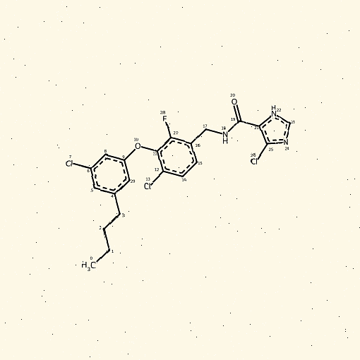 CCCCc1cc(Cl)cc(Oc2c(Cl)ccc(CNC(=O)c3[nH]cnc3Cl)c2F)c1